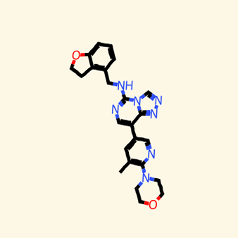 Cc1cc(-c2cnc(NCc3cccc4c3CCO4)n3cnnc23)cnc1N1CCOCC1